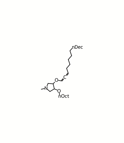 CCCCCCCCCCCCCCCC=C=COC1CN(C)CC1OCCCCCCCC